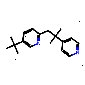 CC(C)(C)c1ccc(CC(C)(C)c2ccncc2)nc1